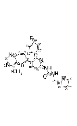 Cc1ncnc2ccc(-c3cnc(NC(=O)NCc4ccccn4)nc3-c3ccc(F)cc3)cc12